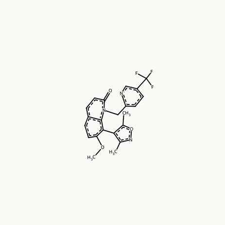 COc1ccc2ccc(=O)n(Cc3ccc(C(F)(F)F)cn3)c2c1-c1c(C)noc1C